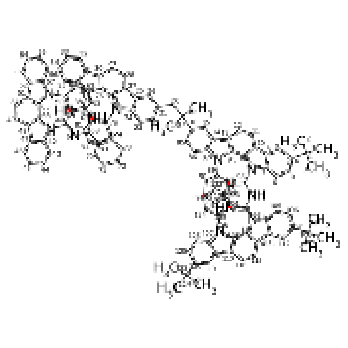 CC(C)(C)c1ccc2c(c1)c1ccc3c4cc(C(C)(C)Cc5ccc6c(c5)c5ccc7c8ccccc8n(C8NC(n9c%10ccccc%10c%10ccc%11c%12ccccc%12n(-c%12ccccc%12)c%11c%109)=NC(c9ccccc9)N8)c7c5n6-c5ccccc5)ccc4n(-c4ccccc4)c3c1n2C1=NCNC(n2c3ccc(C(C)(C)C)cc3c3ccc4c5cc(C(C)(C)C)ccc5n(-c5ccccc5)c4c32)N1